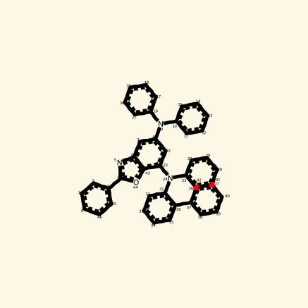 c1ccc(-c2nc3cc(N(c4ccccc4)c4ccccc4)cc(N(c4ccccc4)c4ccccc4-c4ccccc4)c3o2)cc1